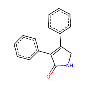 O=C1NCC(c2ccccc2)=C1c1ccccc1